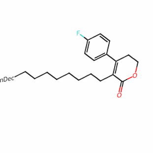 CCCCCCCCCCCCCCCCCCC1=C(c2ccc(F)cc2)CCOC1=O